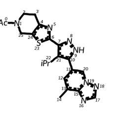 CC(=O)N1CCc2nc(-c3n[nH]c(-c4cc(C)c5ncnn5c4)c3C(C)C)sc2C1